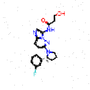 O=C(CCO)Nc1cnc2ccc(N3CCC[C@@H]3c3cccc(F)c3)nn12